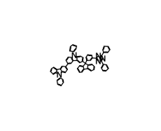 c1ccc(-c2nc(-c3ccccc3)nc(-c3cccc(C4(c5ccc6c(c5)c5cc(-c7ccc8c(c7)c7ccccc7n8-c7ccccc7)ccc5n6-c5ccccc5)c5ccccc5-c5ccccc54)c3)n2)cc1